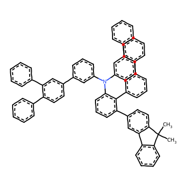 CC1(C)c2ccccc2-c2cc(-c3cccc(N(c4cccc(-c5ccccc5)c4)c4cccc(-c5ccc(-c6ccccc6)c(-c6ccccc6)c5)c4)c3-c3cccc(-c4ccccc4)c3)ccc21